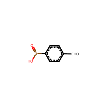 O=Cc1ccc(S(=O)O)cc1